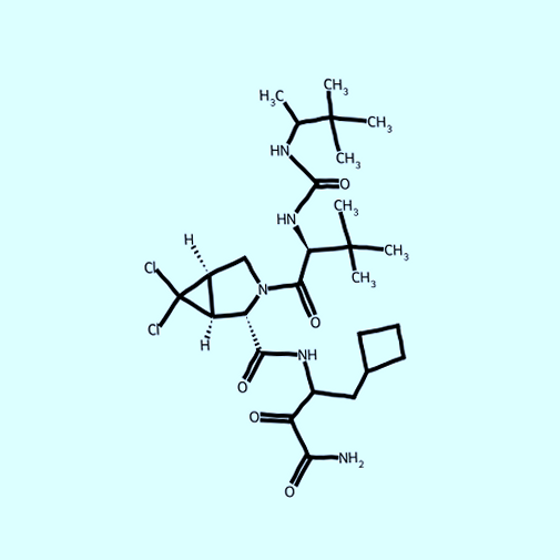 CC(NC(=O)N[C@H](C(=O)N1C[C@H]2[C@@H]([C@H]1C(=O)NC(CC1CCC1)C(=O)C(N)=O)C2(Cl)Cl)C(C)(C)C)C(C)(C)C